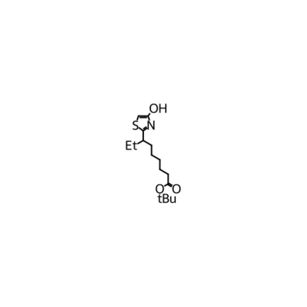 CCC(CCCCCC(=O)OC(C)(C)C)c1nc(O)cs1